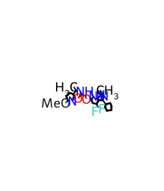 COc1ccc(C(C)NC(=O)COc2cc(C(F)F)c3c(-c4ccccc4)nn(C)c3n2)cn1